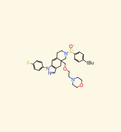 CC(C)(C)c1ccc([S+]([O-])N2CCC3=Cc4c(cnn4-c4ccc(F)cc4)CC3(COCCN3CCOCC3)C2)cc1